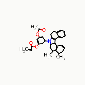 C=CC(=O)OC1=CC(OC(C)=O)=CC(N2C3=C(c4ccccc4CC3)C3C4=C(C(C)CC=C4)C(C)CC32)C1